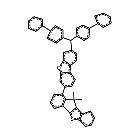 CC1(C)c2c(-c3ccc4c(c3)oc3cc(C(c5ccc(-c6ccccc6)cc5)c5ccc(-c6ccccc6)cc5)ccc34)cccc2-c2sc3ccccc3c21